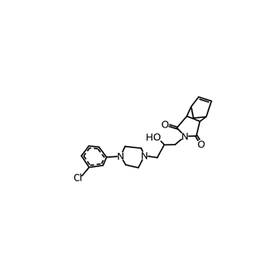 O=C1C2C3C=CC(C3)C2C(=O)N1CC(O)CN1CCN(c2cccc(Cl)c2)CC1